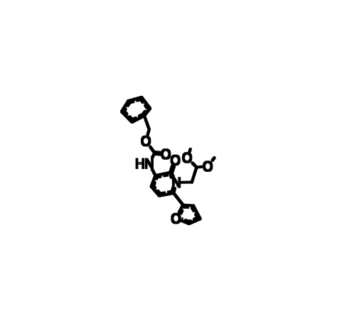 COC(Cn1c(-c2ccco2)ccc(NC(=O)OCc2ccccc2)c1=O)OC